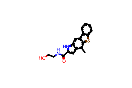 Cc1c2cc(C(=O)NCCO)[nH]c2cc2c1sc1ccccc12